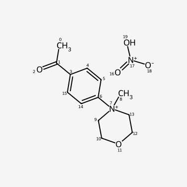 CC(=O)c1ccc([N+]2(C)CCOCC2)cc1.O=[N+]([O-])O